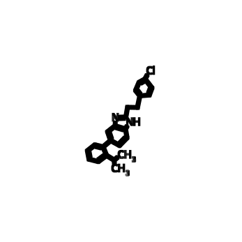 CC(C)c1ccccc1-c1ccc2[nH]c(CCc3ccc(Cl)cc3)nc2c1